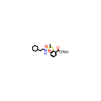 COC(=O)c1ccccc1SC(C)S(=O)(=O)NCCC1CCCCC1